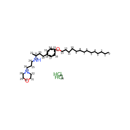 CCCCCCCCCCCCCCOc1ccc(CCC(C)NCCCN2CCOCC2)cc1.Cl.Cl